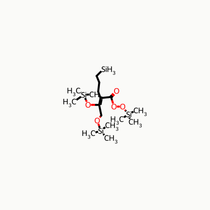 C[Si](C)(C)OCC(O[Si](C)(C)C)=C(CCC[SiH3])C(=O)OO[Si](C)(C)C